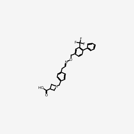 O=C(O)C1CN(Cc2ccc(CC=NOCc3ccc(-c4ccccc4)c(C(F)(F)F)c3)cc2)C1